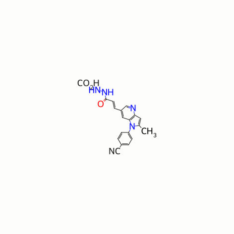 Cc1cc2ncc(C=CC(=O)NNC(=O)O)cc2n1-c1ccc(C#N)cc1